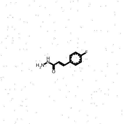 NNC(=O)C=Cc1ccc(F)cc1